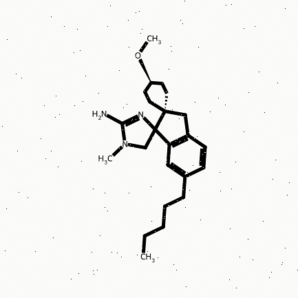 CCCCCc1ccc2c(c1)C1(CN(C)C(N)=N1)[C@]1(CC[C@H](OC)CC1)C2